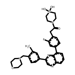 Cc1cc(-c2cnc3cccc(-c4ccc(CC(=O)N5CCS(O)(O)CC5)c(F)c4)c3n2)ccc1CN1CCOCC1